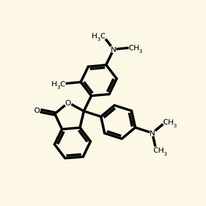 Cc1cc(N(C)C)ccc1C1(c2ccc(N(C)C)cc2)OC(=O)c2ccccc21